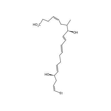 CC/C=C\C[C@@H](O)/C=C/CC/C=C/C=C/[C@H](O)C(C)C/C=C\CCC(=O)O